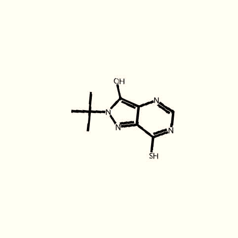 CC(C)(C)n1nc2c(S)ncnc2c1O